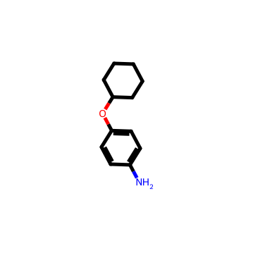 Nc1ccc(OC2CCCCC2)cc1